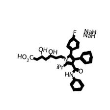 CC(C)c1c(C(=O)Nc2ccccc2)c(-c2ccccc2)c(-c2ccc(F)cc2)n1CC[C@@H](O)C[C@@H](O)CC(=O)O.[NaH].[NaH]